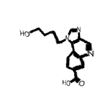 O=C(O)c1ccc2c(c1)ncc1ncn(CCCCO)c12